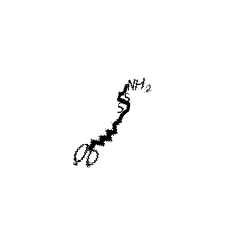 COC(=O)CCCCCCCCC1CCC2(CCC(CN)S2)S1